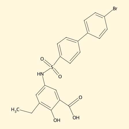 CCc1cc(NS(=O)(=O)c2ccc(-c3ccc(Br)cc3)cc2)cc(C(=O)O)c1O